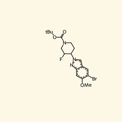 COc1cc2nn(C3CCN(C(=O)OC(C)(C)C)CC3F)cc2cc1Br